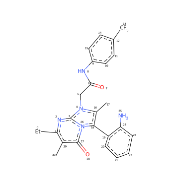 CCc1nc2n(CC(=O)Nc3ccc(C(F)(F)F)cc3)c(C)c(-c3ccccc3N)n2c(=O)c1C